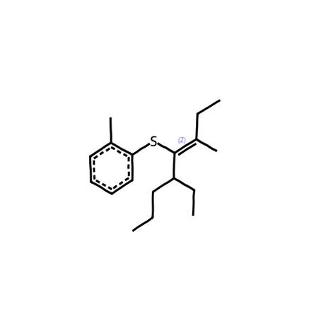 CCCC(CC)/C(Sc1ccccc1C)=C(\C)CC